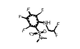 CN(C)S(=O)(=O)c1c(F)c(F)c(F)c(F)c1NCC(F)F